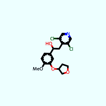 COc1ccc(C(O)Cc2c(Cl)cncc2Cl)cc1OC1CCOC1